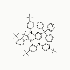 CC(C)(C)c1ccc(N2C3=C(B4c5cc(C(C)(C)C)ccc5N(c5ccc(C(C)(C)C)cc5)c5cc(C(c6ccccc6)(c6ccccc6)c6ccccc6)cc2c54)c2cccc(C(C)(C)C)c2C3(C)C)cc1